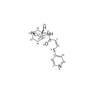 O=C(/C=C\Sc1ccncc1)N[C@H]1CN2CCC1CC2